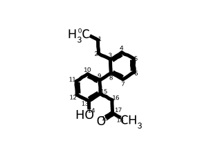 CCCc1ccccc1-c1cccc(O)c1CC(C)=O